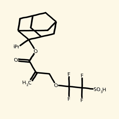 C=C(COC(F)(F)C(F)(F)S(=O)(=O)O)C(=O)OC1(C(C)C)C2CC3CC(C2)CC1C3